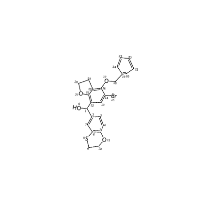 OC(c1ccc2c(c1)SCCO2)c1cc(Br)c(OCc2ccccc2)c2c1OCC2